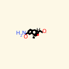 C#C[C@@]12CCC(CCOC)[C@H](Cc3ccc(C(N)=O)cc31)[C@@H]2C